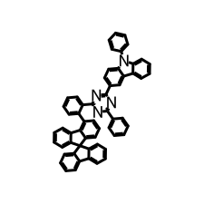 c1ccc(-c2nc(-c3ccc4c(c3)c3ccccc3n4-c3ccccc3)nc(-c3ccccc3-c3cccc4c3-c3ccccc3C43c4ccccc4-c4ccccc43)n2)cc1